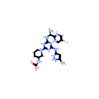 Cc1cc(Nc2nc(N[C@@H](C)c3ncc(F)cn3)nc(N3CCCC(NC(=O)O)C3)n2)n[nH]1